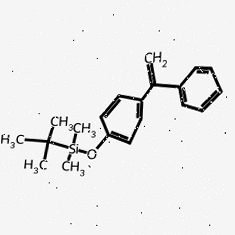 C=C(c1ccccc1)c1ccc(O[Si](C)(C)C(C)(C)C)cc1